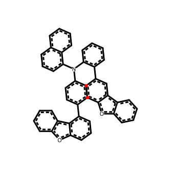 c1ccc(N(c2ccc(-c3cccc4oc5ccccc5c34)cc2)c2cccc3ccccc23)c(-c2ccc3oc4ccccc4c3c2)c1